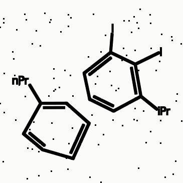 CC(C)c1cccc(I)c1I.CCCc1ccccc1